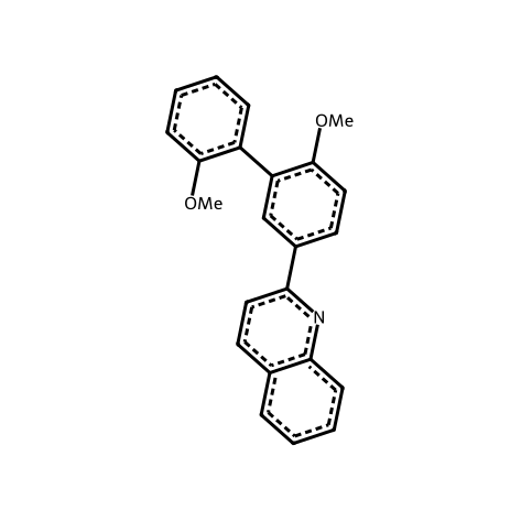 COc1ccccc1-c1cc(-c2ccc3ccccc3n2)ccc1OC